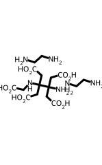 NC(CC(=O)O)(CC(=O)O)C(CC(=O)O)(CC(=O)O)NCC(=O)O.NCCN.NCCN